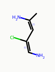 C/C(N)=C/C(Cl)=C\N